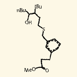 CCCCC(O)C(CCSCc1cccc(CCC(=O)OC)c1)C(C)(C)C